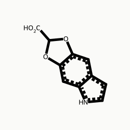 O=C(O)C1Oc2cc3cc[nH]c3cc2O1